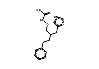 NC(=O)NOCC(CCc1ccccc1)Cc1c[nH]cn1